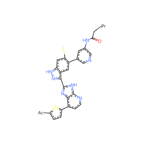 CC(=O)c1ccc(-c2ccnc3[nH]c(-c4n[nH]c5cc(F)c(-c6cncc(NC(=O)CC(C)C)c6)cc45)nc23)s1